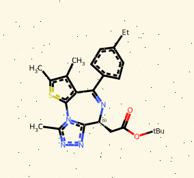 CCc1ccc(C2=N[C@@H](CC(=O)OC(C)(C)C)c3nnc(C)n3-c3sc(C)c(C)c32)cc1